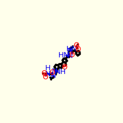 CCCN(Cc1ncc(-c2ccc3c(c2)COc2cc4c(ccc5nc(CN(CC(C)C)C(=O)CNC(=O)OC)[nH]c54)cc2-3)[nH]1)C(=O)[C@H](NC(=O)OC)c1ccccc1